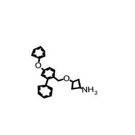 NC1CC(OCc2ccc(Oc3ccccc3)cc2-c2ccccc2)C1